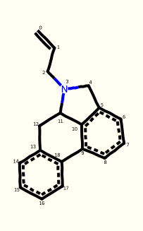 C=CCN1Cc2cccc3c2C1Cc1ccccc1-3